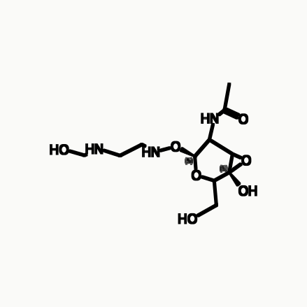 CC(=O)NC1C2O[C@]2(O)C(CO)O[C@H]1ONCCNCO